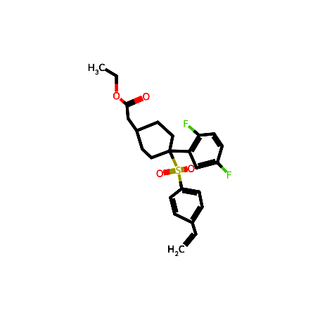 C=Cc1ccc(S(=O)(=O)C2(c3cc(F)ccc3F)CCC(CC(=O)OCC)CC2)cc1